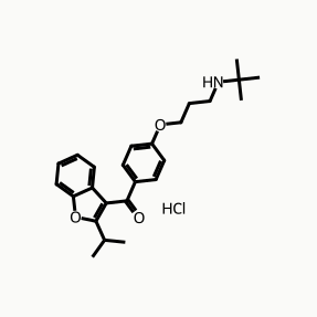 CC(C)c1oc2ccccc2c1C(=O)c1ccc(OCCCNC(C)(C)C)cc1.Cl